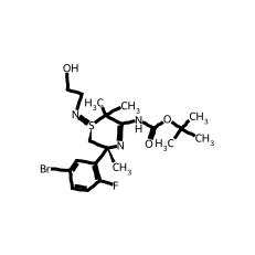 CC(C)(C)OC(=O)NC1=N[C@](C)(c2cc(Br)ccc2F)C/[S@@](=N/CCO)C1(C)C